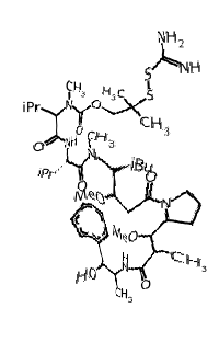 CC[C@H](C)[C@@H](C(CC(=O)N1CCCC1C(OC)C(C)C(=O)NC(C)C(O)c1ccccc1)OC)N(C)C(=O)[C@@H](NC(=O)C(C(C)C)N(C)C(=O)OCC(C)(C)SSC(=N)N)C(C)C